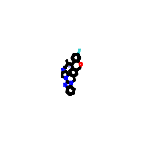 C/C(C#N)=C1/c2ccc(Cn3c(N4CCCC4)nc4ccccc43)cc2COc2cc(F)ccc21